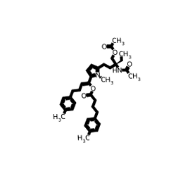 CC[C@@](CCc1ccc(C(=CCCc2ccc(C)cc2)OC(=O)CCCc2ccc(C)cc2)n1C)(COC(C)=O)NC(C)=O